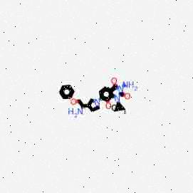 COc1c(N2CCC([C@@H](N)COc3ccccc3)C2)ccc2c(=O)n(N)c(=O)n(C3CC3)c12